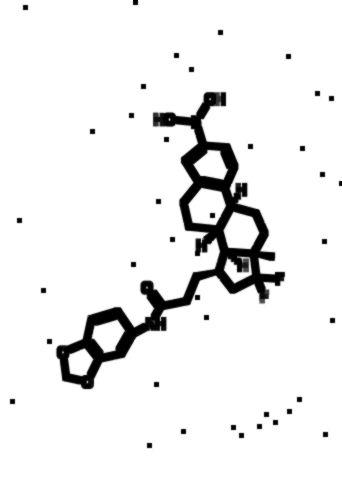 C[C@]12CC[C@@H]3c4ccc(B(O)O)cc4CC[C@H]3[C@@H]1[C@H](CCC(=O)Nc1ccc3c(c1)OCO3)CC2(F)F